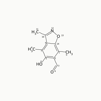 Cc1c(C=O)c(O)c(C)c2c(C)noc12